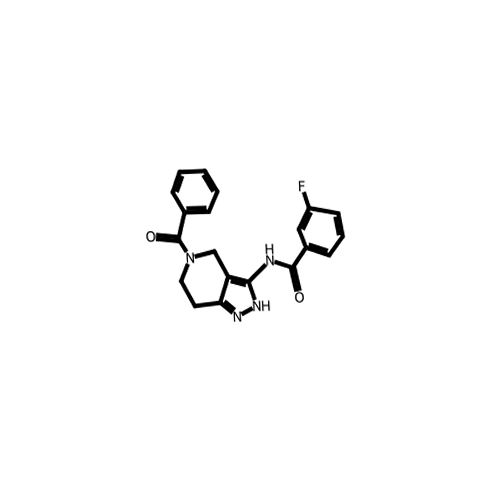 O=C(Nc1[nH]nc2c1CN(C(=O)c1ccccc1)CC2)c1cccc(F)c1